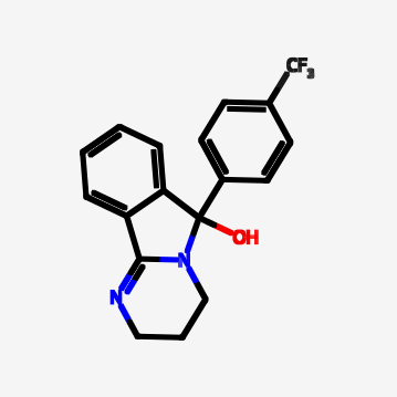 OC1(c2ccc(C(F)(F)F)cc2)c2ccccc2C2=NCCCN21